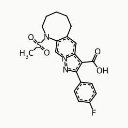 CS(=O)(=O)N1CCCCCc2cc3c(C(=O)O)c(-c4ccc(F)cc4)nn3cc21